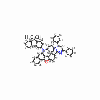 CC1(C)c2ccccc2-c2cc(N(c3ccccc3)c3cc4ccccc4c4oc5ccc(-c6nc(-c7ccccc7)cc(-c7ccccc7)n6)cc5c34)ccc21